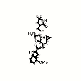 COc1cccc2[nH]c(C(=O)N[C@@H](CC3CC3)C(=O)N[C@@H](CCC3CC(C)(C)NC3=O)C(N)=O)cc12